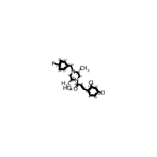 C[C@@H]1CN(C(=O)C=Cc2ccc(Cl)cc2Cl)[C@@H](C)CN1Cc1ccc(F)cc1.Cl